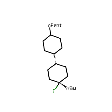 CCCCCC1CCC([C@H]2CC[C@](F)(CCCC)CC2)CC1